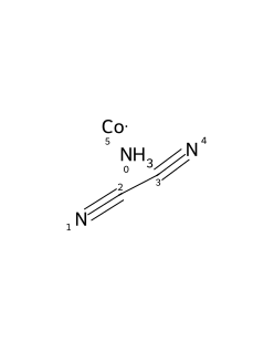 N.N#CC#N.[Co]